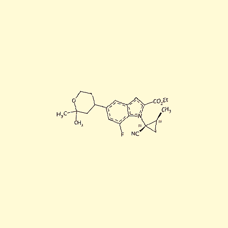 CCOC(=O)c1cc2cc(C3CCOC(C)(C)C3)cc(F)c2n1[C@@]1(C#N)C[C@@H]1C